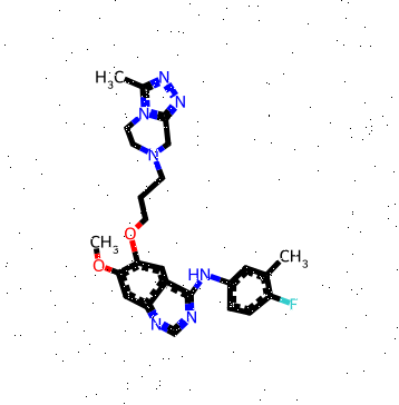 COc1cc2ncnc(Nc3ccc(F)c(C)c3)c2cc1OCCCN1CCn2c(C)nnc2C1